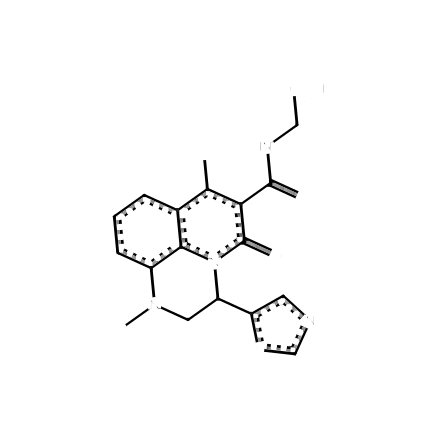 CN1CC(c2cncs2)n2c(=O)c(C(=O)NCC(=O)O)c(O)c3cccc1c32